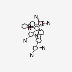 N#Cc1ccc(-c2ccc3c4ccccc4n(-c4cc(C#N)cc(-n5c6ccccc6c6ccc(-c7ccc(C#N)cc7C#N)cc65)c4-c4ccc(C(F)(F)F)cc4C#N)c3c2)c(C#N)c1